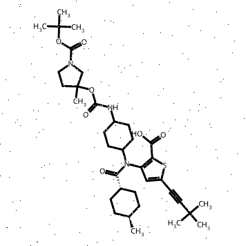 CC(C)(C)C#Cc1cc(N(C(=O)[C@H]2CC[C@H](C)CC2)C2CCC(NC(=O)OC3(C)CCN(C(=O)OC(C)(C)C)C3)CC2)c(C(=O)O)s1